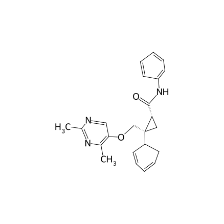 Cc1ncc(OC[C@@]2(C3C=CC=CC3)C[C@H]2C(=O)Nc2ccccc2)c(C)n1